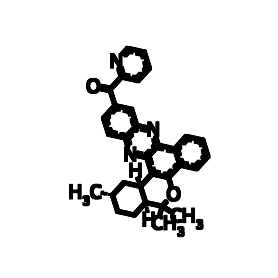 C[C@H]1CC[C@H]2[C@H](C1)c1c(c3ccccc3c3nc4cc(C(=O)c5ccccn5)ccc4nc13)OC2(C)C